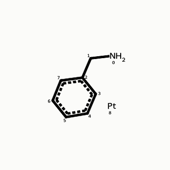 NCc1[c]cccc1.[Pt]